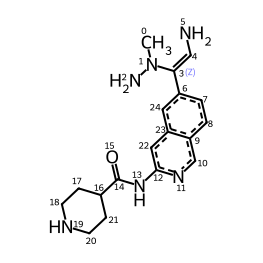 CN(N)/C(=C\N)c1ccc2cnc(NC(=O)C3CCNCC3)cc2c1